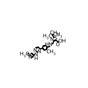 Cc1cc(-c2ccnc(Nc3cnn(C)c3)n2)ccc1CNCc1nc(C(C)(C)C)sc1C(=O)O